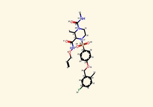 C=CCONC(=O)C1C(C)N(C(=O)NC)CCN1S(=O)(=O)c1ccc(OCc2cc(F)ccc2C)cc1